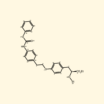 CCOC(=O)[C@H](Cc1ccc(OCCc2ccc(NC(=O)Oc3ccccc3)cc2)cc1)OCC